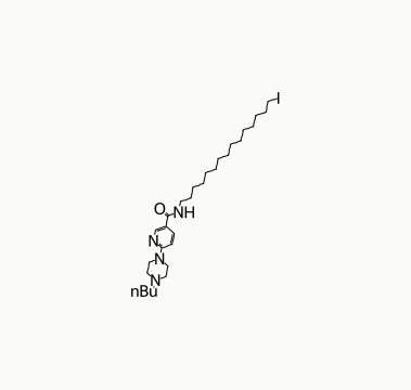 CCCCN1CCN(c2ccc(C(=O)NCCCCCCCCCCCCCCCI)cn2)CC1